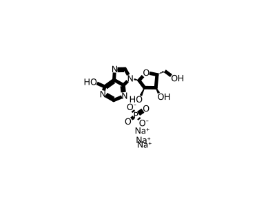 O=P([O-])([O-])[O-].OC[C@H]1O[C@@H](n2cnc3c(O)ncnc32)[C@H](O)[C@@H]1O.[Na+].[Na+].[Na+]